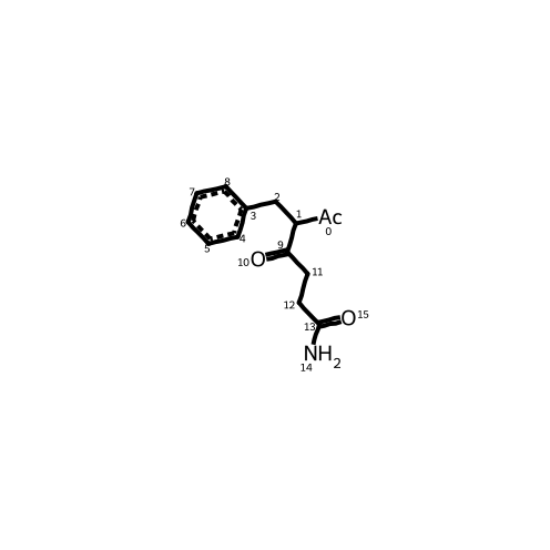 CC(=O)C(Cc1ccccc1)C(=O)CCC(N)=O